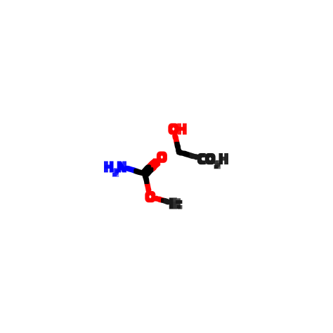 CCOC(N)=O.O=C(O)CO